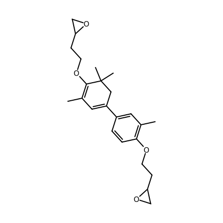 CC1=C(OCCC2CO2)C(C)(C)CC(c2ccc(OCCC3CO3)c(C)c2)=C1